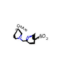 CO[C@H]1CCN(Cc2ccc([N+](=O)[O-])cn2)C1